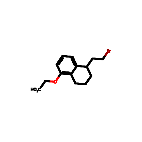 O=C(O)COc1cccc2c1CCCC2CCBr